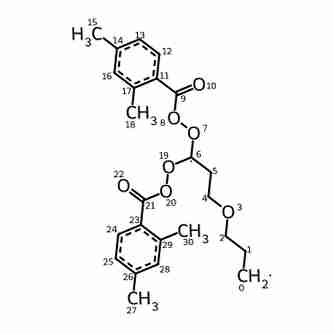 [CH2]CCOCC[C](OOC(=O)c1ccc(C)cc1C)OOC(=O)c1ccc(C)cc1C